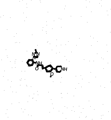 COc1cc(/C=C/C(=O)Nc2ccccc2-n2cnc(C)n2)ccc1C1=CCNCC1